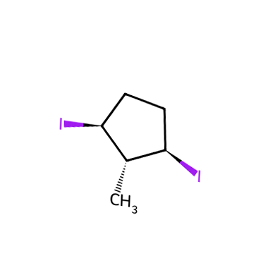 C[C@H]1[C@H](I)CC[C@@H]1I